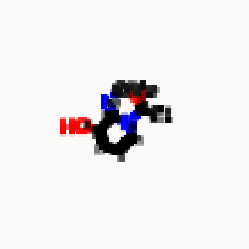 CCC(=O)n1cccc(O)/c1=N/OC